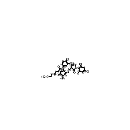 CCCCCCCCCCCCCCCC(=O)Nc1ccc(Cl)c(NC2=NN(c3c(C)cc(Cl)cc3Cl)C(=O)C2N=Nc2cc(C(C)C)c(O)cc2C)c1